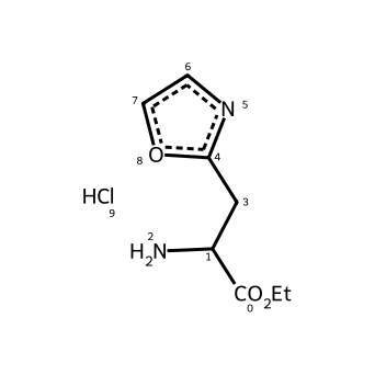 CCOC(=O)C(N)Cc1ncco1.Cl